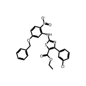 CCOC(=O)c1sc(Nc2cc(OCc3ccccc3)ccc2[N+](=O)[O-])nc1-c1cccc(Cl)c1